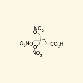 O=C(O)CCC(CO[N+](=O)[O-])(CO[N+](=O)[O-])CO[N+](=O)[O-]